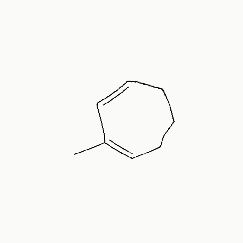 CC1=CCCCC=C1